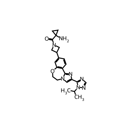 CC(C)n1ncnc1-c1cn2c(n1)-c1ccc(C3CN(C(=O)C4(N)CC4)C3)cc1OCC2